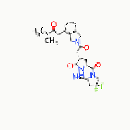 CC(C)C(=O)Cc1cccc2c1CN(C(=O)C[C@@H]1C[C@@H](C(=O)N3CC(F)(F)C[C@H]3C#N)NC1=O)C2